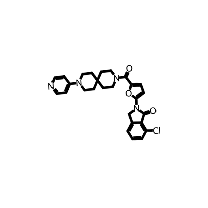 O=C(c1ccc(N2Cc3cccc(Cl)c3C2=O)o1)N1CCC2(CC1)CCN(c1ccncc1)CC2